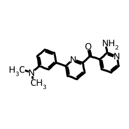 CN(C)c1cccc(-c2cccc(C(=O)c3cccnc3N)n2)c1